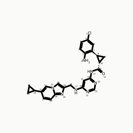 Nc1ccc(Cl)cc1[C@H]1C[C@@H]1C(=O)Nc1cc(NCc2cn3cc(C4CC4)ccc3n2)ncn1